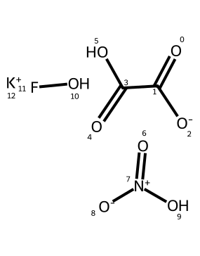 O=C([O-])C(=O)O.O=[N+]([O-])O.OF.[K+]